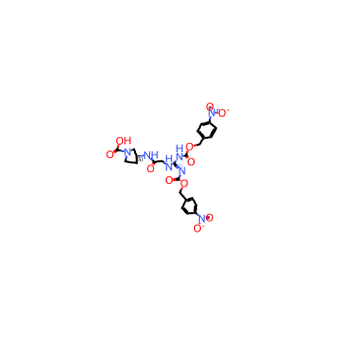 O=C(CN/C(=N\C(=O)OCc1ccc([N+](=O)[O-])cc1)NC(=O)OCc1ccc([N+](=O)[O-])cc1)N[C@H]1CCN(C(=O)O)C1